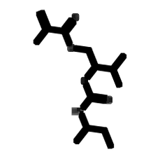 C=C(C)C(=O)OCC(OC(=O)NC(C)CC)C(C)C